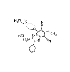 CCc1c(C#N)c(SC(C(N)=O)c2ccccc2)nc(N2CCC(F)(CN)CC2)c1C#N.Cl